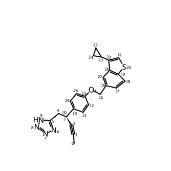 CC#C[C@@H](Cc1nnn[nH]1)c1ccc(OCc2ccc3scc(C4CC4)c3c2)cc1